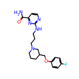 NC(=O)c1ccnc(NCCCN2CCCC(COc3ccc(F)cc3)C2)n1